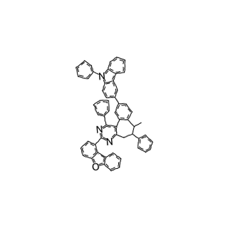 CC1c2ccc(-c3ccc4c(c3)c3ccccc3n4-c3ccccc3)cc2-c2c(nc(-c3cccc4oc5ccccc5c34)nc2-c2ccccc2)CC1c1ccccc1